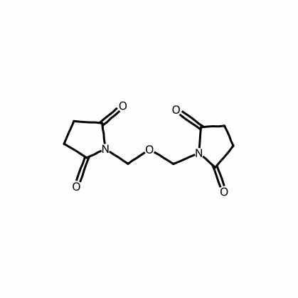 O=C1CCC(=O)N1COCN1C(=O)CCC1=O